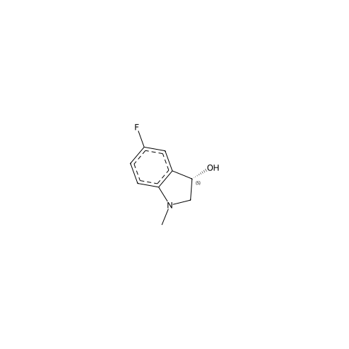 CN1C[C@@H](O)c2cc(F)ccc21